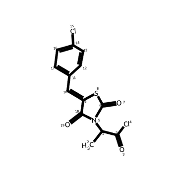 CC(C(=O)Cl)N1C(=O)S/C(=C\c2ccc(Cl)cc2)C1=O